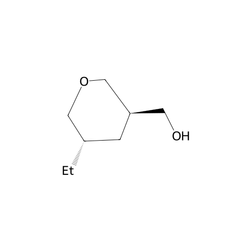 CC[C@@H]1COC[C@@H](CO)C1